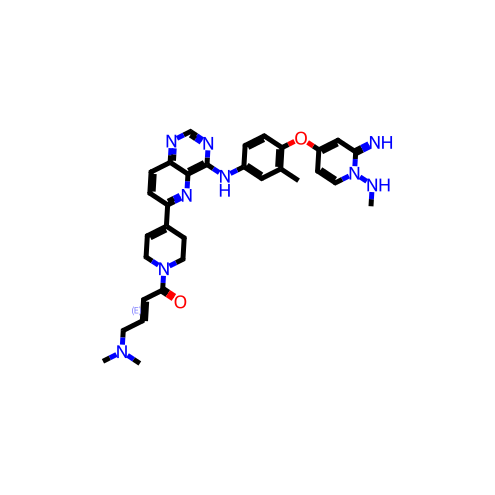 CNn1ccc(Oc2ccc(Nc3ncnc4ccc(C5=CCN(C(=O)/C=C/CN(C)C)CC5)nc34)cc2C)cc1=N